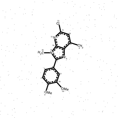 COc1ccc(-c2nc3c(C)cc(Cl)nc3n2C)cc1OC